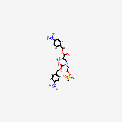 CS(=O)(=O)OCCN(CC(N)C(=O)OCc1ccc([N+](=O)[O-])cc1)C(=O)OCc1ccc([N+](=O)[O-])cc1